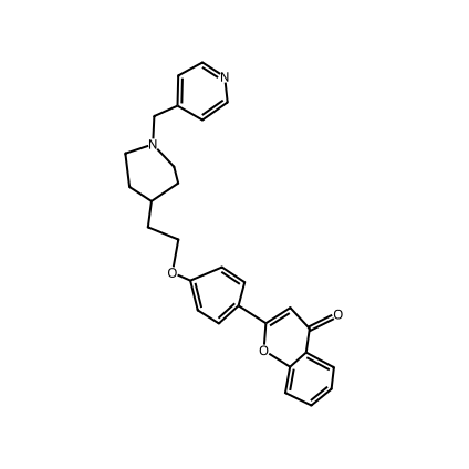 O=c1cc(-c2ccc(OCCC3CCN(Cc4ccncc4)CC3)cc2)oc2ccccc12